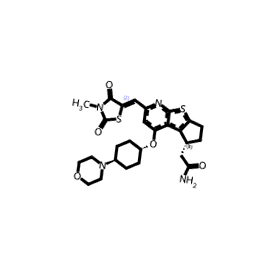 CN1C(=O)S/C(=C\c2cc(O[C@H]3CC[C@H](N4CCOCC4)CC3)c3c4c(sc3n2)CC[C@@H]4CC(N)=O)C1=O